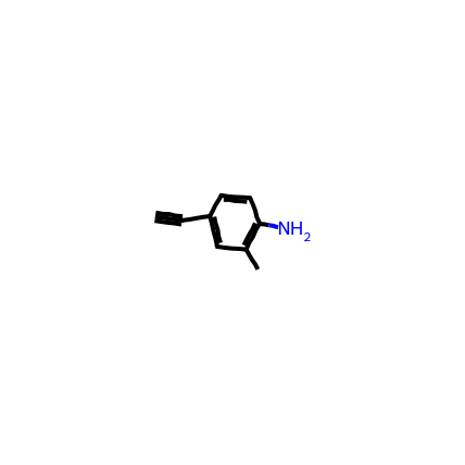 C#Cc1ccc(N)c(C)c1